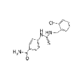 NC(=O)c1ccc(NC(=S)NCc2ccccc2Cl)cc1